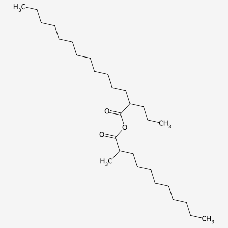 CCCCCCCCCCCCC(CCC)C(=O)OC(=O)C(C)CCCCCCCCC